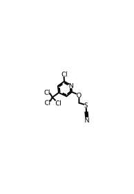 N#CSCOc1cc(C(Cl)(Cl)Cl)cc(Cl)n1